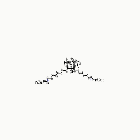 CCCCCCCC/C=C/CCCCCCCC(=O)C(O)(C(=O)CCCCCCC/C=C/CCCCCCCC)C([PH-])[N+](C)(C)C